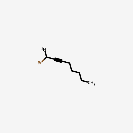 [2H]C(Br)C#CCCCCC